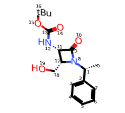 C[C@H](c1ccccc1)N1C(=O)[C@@H](NC(=O)OC(C)(C)C)[C@H]1CO